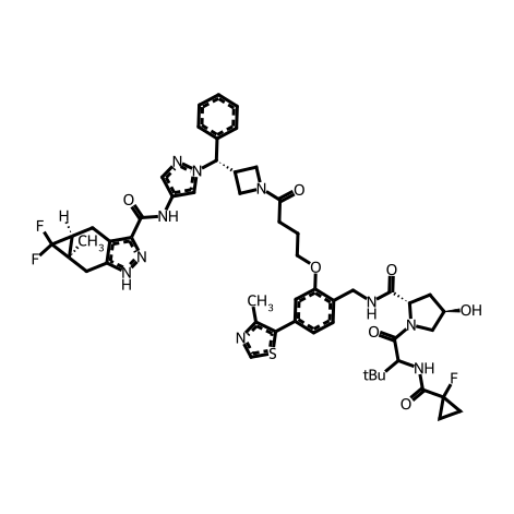 Cc1ncsc1-c1ccc(CNC(=O)[C@@H]2C[C@@H](O)CN2C(=O)C(NC(=O)C2(F)CC2)C(C)(C)C)c(OCCCC(=O)N2CC([C@@H](c3ccccc3)n3cc(NC(=O)c4n[nH]c5c4C[C@@H]4C(F)(F)[C@]4(C)C5)cn3)C2)c1